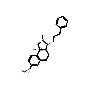 COc1ccc2c(c1)CCC1[C@@H]2CN(C)[C@@H]1CCCc1ccccc1